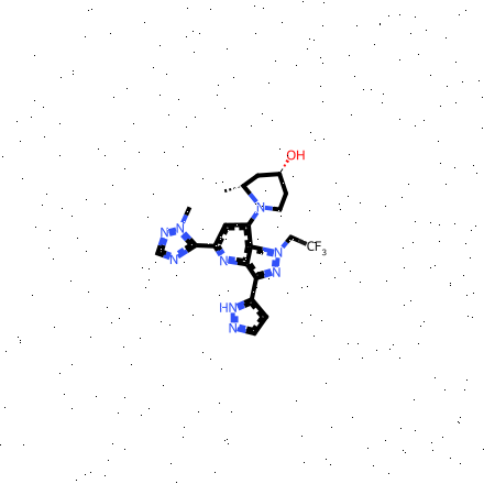 C[C@@H]1C[C@H](O)CCN1c1cc(-c2ncnn2C)nc2c(-c3ccn[nH]3)nn(CC(F)(F)F)c12